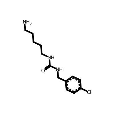 NCCCCCNC(=O)NCc1ccc(Cl)cc1